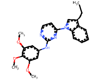 CCc1cn(-c2ccnc(Nc3cc(OC)c(OC)c(OC)c3)n2)c2ccccc12